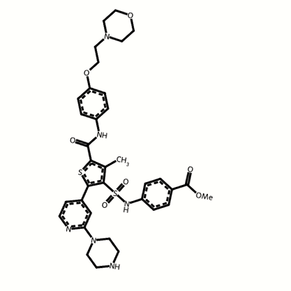 COC(=O)c1ccc(NS(=O)(=O)c2c(-c3ccnc(N4CCNCC4)c3)sc(C(=O)Nc3ccc(OCCN4CCOCC4)cc3)c2C)cc1